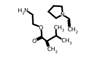 C=C(C(=O)OCCN)C(C)C.C=CN1CCCC1